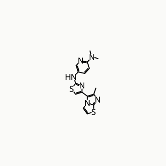 Cc1nc2sccn2c1-c1csc(Nc2ccc(N(C)C)nc2)n1